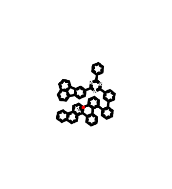 N#Cc1cccc(-c2ccccc2-c2cccc(-c3nc(-c4ccccc4)nc(-c4ccc5c(c4)-c4cccc6cccc-5c46)n3)c2)c1-c1ccccc1-c1cccc2c1ccc1ccccc12